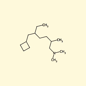 CCC(CCC(C)CN(C)C)CC1CCC1